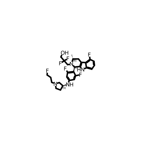 C[C@@H]1Cc2c([nH]c3cccc(F)c23)[C@@H](c2c(F)cc(N[C@H]3CCN(CCCF)C3)cc2F)N1CC(F)(F)CO